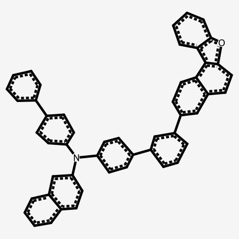 c1ccc(-c2ccc(N(c3ccc(-c4cccc(-c5ccc6c(ccc7oc8ccccc8c76)c5)c4)cc3)c3ccc4ccccc4c3)cc2)cc1